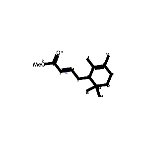 COC(=O)/C=C/CC1C(C)=C(C)CCC1(C)C